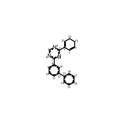 C1=CC(c2ncnc(-c3cccc(-c4ccccc4)c3)n2)=CCC1